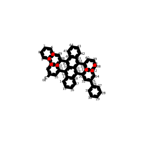 Fc1cc(-c2ccccc2)cc(-c2c3ccccc3c(-c3cc(F)cc(-c4ccccc4)c3)c3c(-c4ccccc4)c4ccccc4c(-c4ccccc4)c23)c1